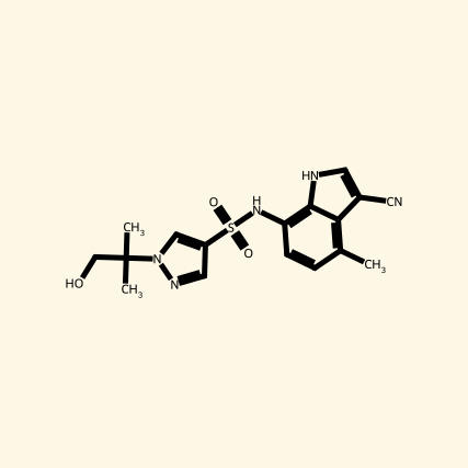 Cc1ccc(NS(=O)(=O)c2cnn(C(C)(C)CO)c2)c2[nH]cc(C#N)c12